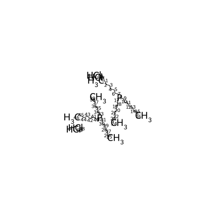 CCCCCCCCP(CCCCCCCC)CCCCCCCC.CCCCCCCP(CCCCCCC)CCCCCCC.Cl.Cl.Cl.Cl